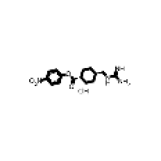 Cl.N=C(N)NC[C@H]1CC[C@H](C(=O)Oc2ccc([N+](=O)[O-])cc2)CC1